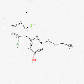 CCCCc1cc(O)cc(-c2c(F)cccc2Cl)c1